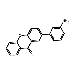 Nc1cccc(-c2ccc3oc4ccccc4c(=O)c3c2)c1